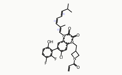 C=CC(=O)N1CC(Cn2c(=O)c(=O)n(/C=C(C)/C=C\C=C\C(C)C)c3cc(-c4c(O)ccc(F)c4F)c(Cl)cc32)C1